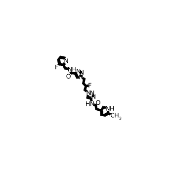 CC1=CC=C(CC(=O)Nc2cn(CC(F)CCn3cc(C(=O)NCc4ncccc4F)nn3)nn2)CN1